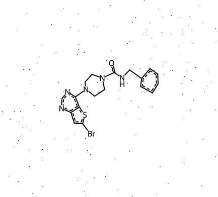 O=C(NCc1ccccc1)N1CCN(c2ncnc3cc(Br)sc23)CC1